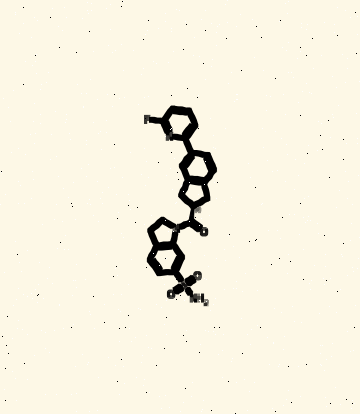 NS(=O)(=O)c1ccc2c(c1)N(C(=O)[C@@H]1Cc3ccc(-c4cccc(F)n4)cc3C1)CC2